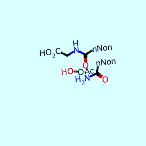 CC(=O)OO.CCCCCCCCCC(=O)NCC(=O)O.CCCCCCCCCC(N)=O